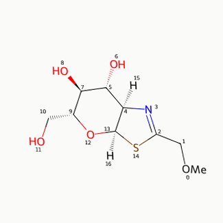 COCC1=N[C@@H]2[C@@H](O)[C@H](O)[C@@H](CO)O[C@@H]2S1